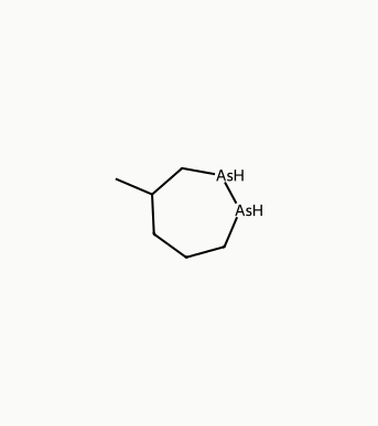 CC1CCC[AsH][AsH]C1